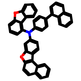 c1ccc2c(-c3ccc(N(c4ccc5c(c4)oc4ccc6ccccc6c45)c4cccc5oc6ccccc6c45)cc3)cccc2c1